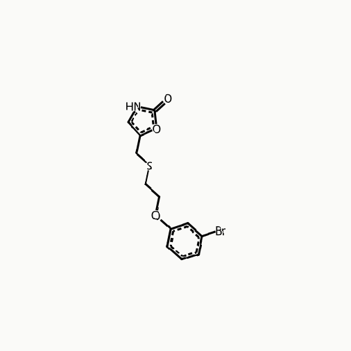 O=c1[nH]cc(CSCCOc2cccc(Br)c2)o1